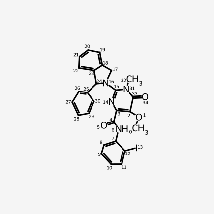 COc1c(C(=O)Nc2ccccc2I)nc(N2Cc3ccccc3C2c2ccccc2)n(C)c1=O